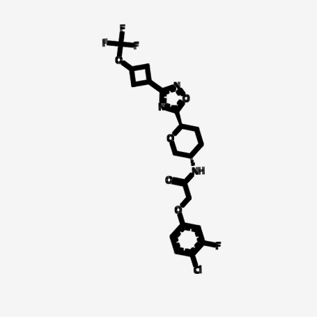 O=C(COc1ccc(Cl)c(F)c1)N[C@H]1CC[C@H](c2nc(C3CC(OC(F)(F)F)C3)no2)OC1